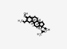 C#C[C@]1(OC(C)=O)CC[C@H]2[C@@H]3CCC4=CC(=NO)C(CC)C[C@@H]4[C@H]3CC[C@@H]21